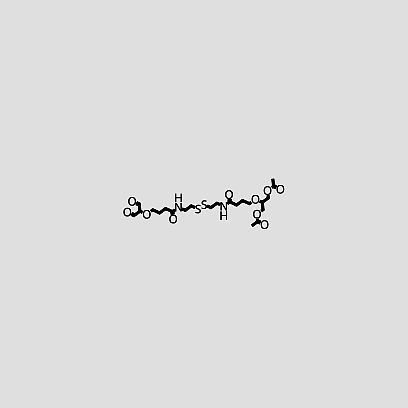 CC(=O)OCC(COC(C)=O)OCCCC(=O)NCCSSCCNC(=O)CCCOC(C=O)C=O